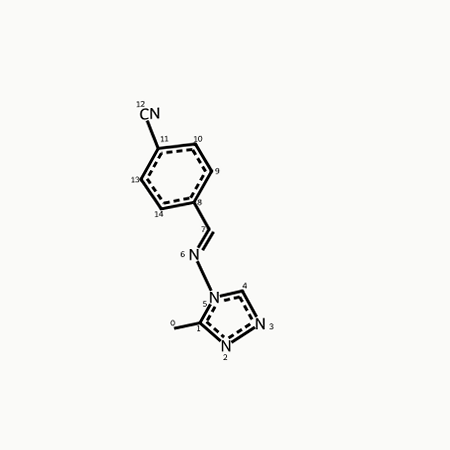 Cc1nncn1N=Cc1ccc(C#N)cc1